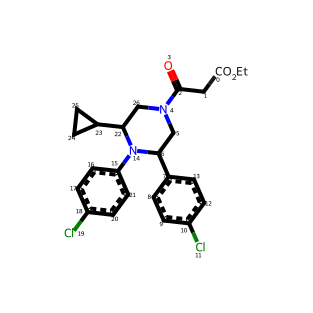 CCOC(=O)CC(=O)N1CC(c2ccc(Cl)cc2)N(c2ccc(Cl)cc2)C(C2CC2)C1